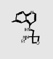 CCNC1(CNc2ccnc3ccc(C)cc23)COC1